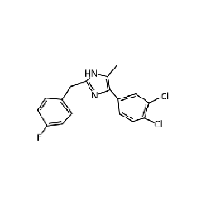 Cc1[nH]c(Cc2ccc(F)cc2)nc1-c1ccc(Cl)c(Cl)c1